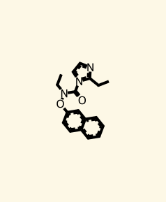 CCc1nccn1C(=O)N(CC)Oc1ccc2ccccc2c1